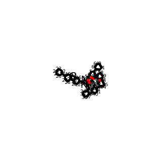 c1ccc(-c2ccc(-c3nc(-c4ccc5c(c4)oc4cc(-c6ccccc6)ccc45)nc(-n4c5ccccc5c5ccc6c7ccccc7n(-c7ccccc7-c7ccccc7)c6c54)n3)cc2)cc1